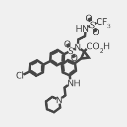 O=C(O)C1(N(CCNS(=O)(=O)C(F)(F)F)S(=O)(=O)c2ccc(-c3ccc(Cl)cc3)cc2)CC1c1cccc(NCCN2CCCCC2)c1